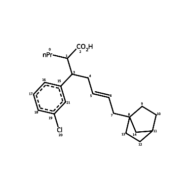 CCCC(C(=O)O)C(CC=CCC12CCC(CC1)C2)c1cccc(Cl)c1